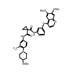 CNC1CCN(c2ccc(NC(=O)C3(C(=O)Nc4cccc(Oc5ccnc6cc(OC)c(OC)cc56)c4)CC3)cc2C(F)(F)F)CC1